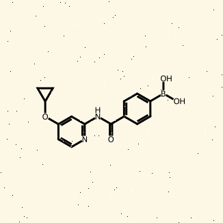 O=C(Nc1cc(OC2CC2)ccn1)c1ccc(B(O)O)cc1